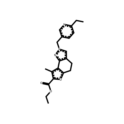 CCOC(=O)c1oc2c(c1C)-c1nn(Cc3ccc(CC)nc3)cc1CC2